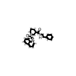 O=C(NCCc1ccccc1)C1CCCN(S(=O)(=O)c2cccc3cccnc23)C1